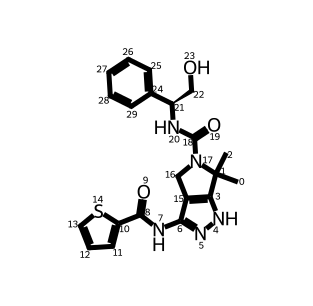 CC1(C)c2[nH]nc(NC(=O)c3cccs3)c2CN1C(=O)N[C@H](CO)c1ccccc1